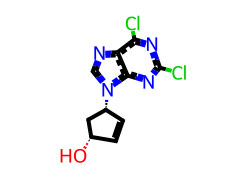 O[C@H]1C=C[C@@H](n2cnc3c(Cl)nc(Cl)nc32)C1